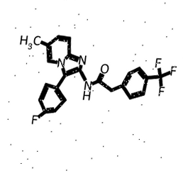 Cc1ccc2nc(NC(=O)Cc3ccc(C(F)(F)F)cc3)c(-c3ccc(F)cc3)n2c1